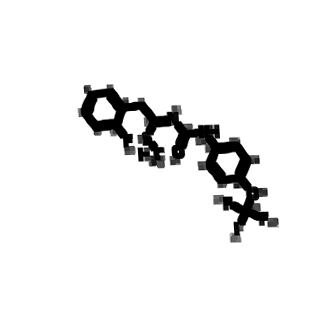 CSC(Cc1ccccc1F)=NC(=O)Nc1ccc(OC(F)(F)F)cc1